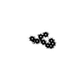 c1ccc(-c2cccc(N(c3ccc(-c4ccc5ccc6ccc7ccccc7c6c5c4)cc3)c3ccc4sc5ccccc5c4c3)c2)cc1